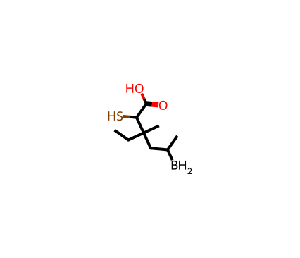 BC(C)CC(C)(CC)C(S)C(=O)O